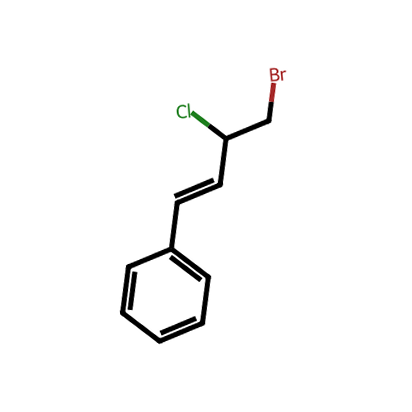 ClC(C=Cc1ccccc1)CBr